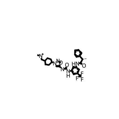 C[C@H](C(=O)Nc1cc(NC(=O)[N-]c2c[n+](C3CCC(CN(C)C)CC3)no2)cc(C(F)(F)F)c1)c1ccccc1